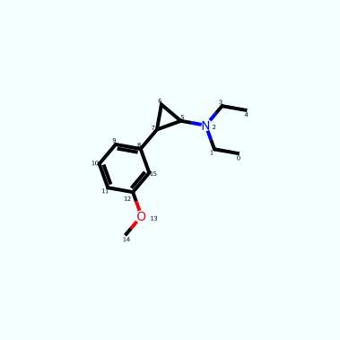 CCN(CC)C1CC1c1cccc(OC)c1